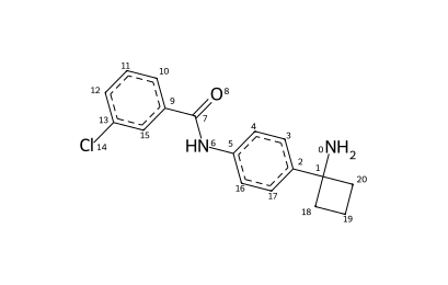 NC1(c2ccc(NC(=O)c3cccc(Cl)c3)cc2)CCC1